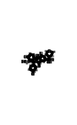 CCC(O)(c1cc(F)c2c(c1)C(=O)N(C(CC(=O)O)c1ccc(Cl)cc1)C2(O)c1ccc(Cl)cc1)C1CCOCC1